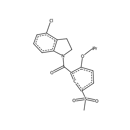 CC(C)Oc1ccc(S(C)(=O)=O)cc1C(=O)N1CCc2c(Cl)cccc21